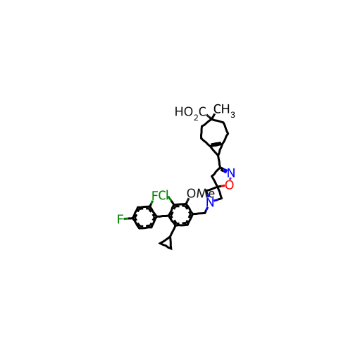 COc1c(CN2CC3(CC(C4C5=C4CCC(C)(C(=O)O)CC5)=NO3)C2)cc(C2CC2)c(-c2ccc(F)cc2F)c1Cl